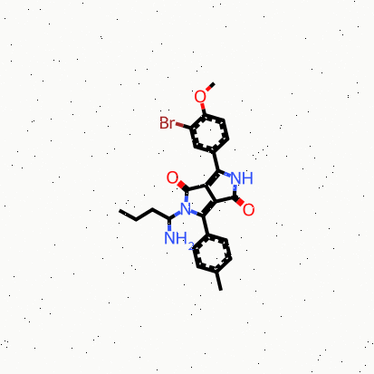 CCCC(N)N1C(=O)C2=C(c3ccc(OC)c(Br)c3)NC(=O)C2=C1c1ccc(C)cc1